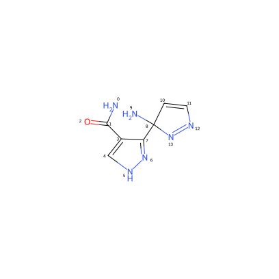 NC(=O)c1c[nH]nc1C1(N)C=CN=N1